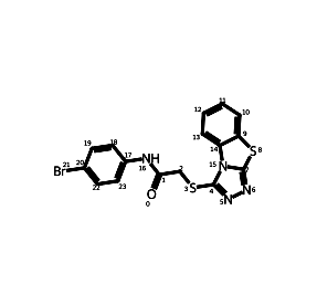 O=C(CSc1nnc2sc3ccccc3n12)Nc1ccc(Br)cc1